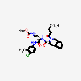 Cc1cc(NC(=O)[C@H](CCNC(=O)OC(C)(C)C)NC(=O)[C@@H]2Cc3ccccc3CN2C(=O)CCC(=O)O)ccc1Cl